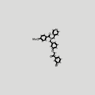 COc1ccc(C(=O)N(Cc2ccncc2)Cc2cccc(OCC(=O)c3cccc(Br)c3)c2)cc1